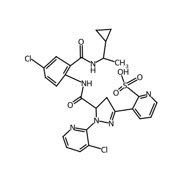 CC(NC(=O)c1cc(Cl)ccc1NC(=O)C1CC(c2cccnc2S(=O)(=O)O)=NN1c1ncccc1Cl)C1CC1